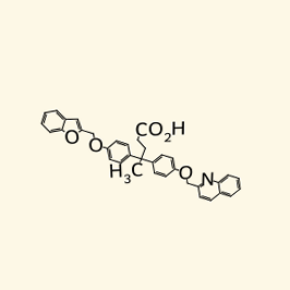 CC(CCC(=O)O)(c1ccc(OCc2ccc3ccccc3n2)cc1)c1ccc(OCc2cc3ccccc3o2)cc1